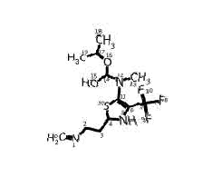 C=NCCC1NC(C(F)(F)F)=C(N(C)C(O)OC(C)C)S1